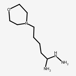 NNC(N)CCCCN1CCOCC1